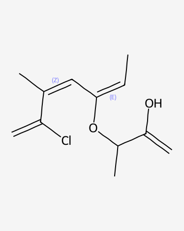 C=C(Cl)/C(C)=C\C(=C/C)OC(C)C(=C)O